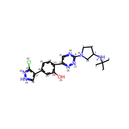 CC(C)(C)NC1CCN(c2ncc(-c3ccc(-c4c[nH]nc4Cl)cc3O)nn2)C1